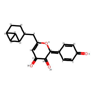 O=C1C=CC(=C2OC(CC3CCC4C5C3C45)=CC(=O)C2=O)C=C1